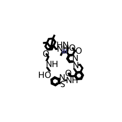 C/C(NCC12CC3(C)CC(C)(C1)CC(OCCNCCO)(C3)C2)=C(/C=N)c1ccc(N2CCc3cccc(C(=O)Nc4nc5ccccc5s4)c3C2)nc1C(=O)O